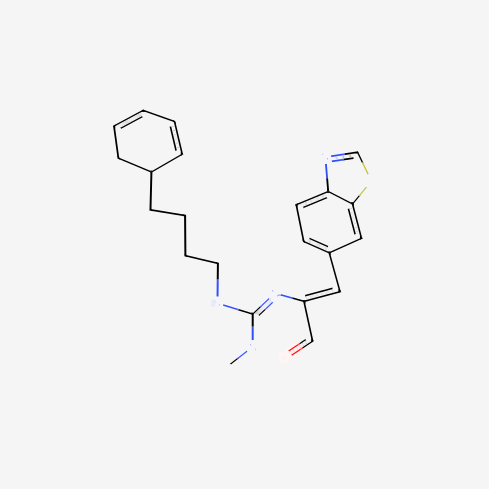 CN/C(=N\C(C=O)=C/c1ccc2ncsc2c1)NCCCCC1C=CC=CC1